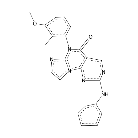 COc1cccc(-n2c(=O)c3cnc(Nc4ccccc4)nc3n3ccnc23)c1C